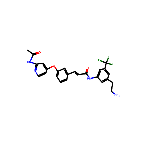 CC(=O)Nc1cc(Oc2cccc(C=CC(=O)Nc3cc(CCN)cc(C(F)(F)F)c3)c2)ccn1